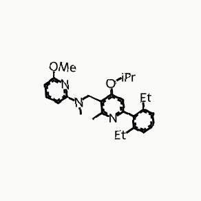 CCc1cccc(CC)c1-c1cc(OC(C)C)c(CN(C)c2cccc(OC)n2)c(C)n1